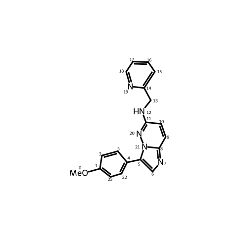 COc1ccc(-c2cnc3ccc(NCc4ccccn4)nn23)cc1